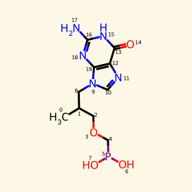 CC(COCP(O)O)Cn1cnc2c(=O)[nH]c(N)nc21